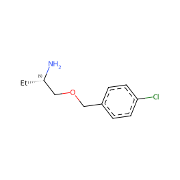 CC[C@H](N)COCc1ccc(Cl)cc1